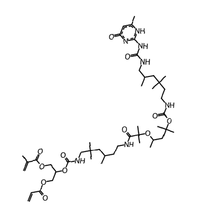 C=CC(=O)OCC(COC(=O)C(=C)C)OC(=O)NCC(C)(C)CC(C)CCNC(=O)C(C)(C)OC(C)CC(C)(C)OC(=O)NCCC(C)(C)CC(C)CNC(=O)Nc1nc(=O)cc(C)[nH]1